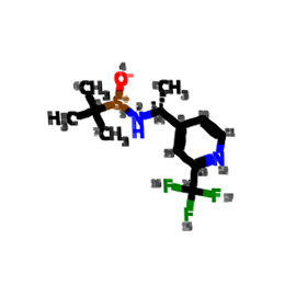 C[C@@H](N[S+]([O-])C(C)(C)C)c1ccnc(C(F)(F)F)c1